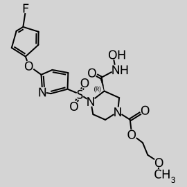 COCCOC(=O)N1CCN(S(=O)(=O)c2ccc(Oc3ccc(F)cc3)nc2)[C@@H](C(=O)NO)C1